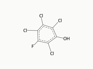 Oc1c(Cl)c(F)c(Cl)c(Cl)c1Cl